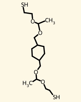 CC(OCCS)OCC1CCC(COC(C)OCCS)CC1